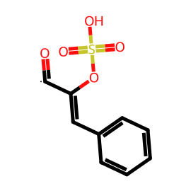 O=[C]C(=Cc1ccccc1)OS(=O)(=O)O